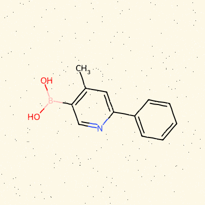 Cc1cc(-c2ccccc2)ncc1B(O)O